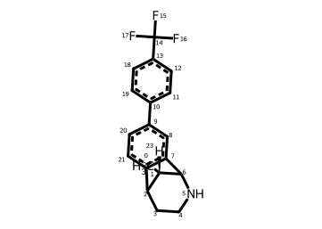 C[C@H]1C2CCNC1c1cc(-c3ccc(C(F)(F)F)cc3)ccc12